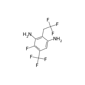 Nc1cc(C(F)(F)F)c(F)c(N)c1CC(F)(F)F